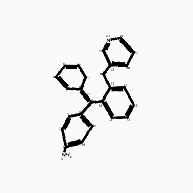 Nc1ccc(/C(=C2\C=CC=CC2)c2ccccc2Cc2cccnc2)cc1